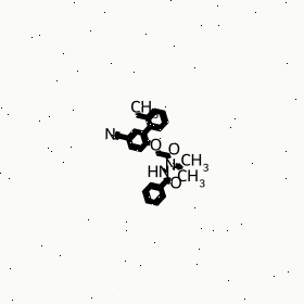 CCc1ccccc1-c1cc(C#N)ccc1OCC(=O)N(NC(=O)c1ccccc1)C(C)C